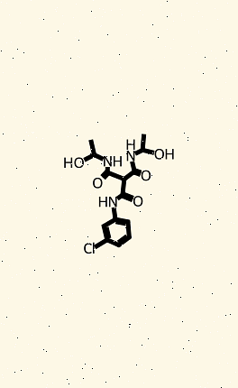 CC(O)NC(=O)C(C(=O)Nc1cccc(Cl)c1)C(=O)NC(C)O